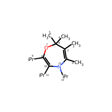 CC1=C(C)C(C)(C)OC(C(C)C)=C(C(C)C)N1C(C)C